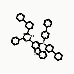 c1ccc(C2=NC(c3cc(N(c4ccc(-c5ccccc5)cc4)c4ccc(-c5ccccc5)cc4)c4c(c3)oc3ccccc34)NC(c3cccc(-c4ccccc4)c3)=N2)cc1